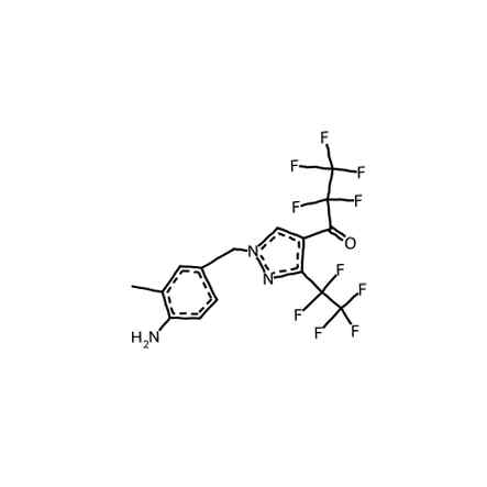 Cc1cc(Cn2cc(C(=O)C(F)(F)C(F)(F)F)c(C(F)(F)C(F)(F)F)n2)ccc1N